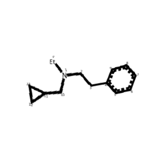 CCN(CCc1ccccc1)CC1CC1